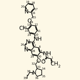 C=CC(=O)Nc1cc2c(Nc3ccc(OCc4ccccn4)c(Cl)c3)ncnc2cc1OCC1CCCN1CI